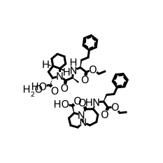 CCOC(=O)[C@H](CCc1ccccc1)N[C@@H](C)C(=O)N1[C@H](C(=O)O)C[C@H]2CCCC[C@@H]21.CCOC(=O)[C@H](CCc1ccccc1)N[C@H]1CCCN2CCC[C@@H](C(=O)O)N2C1=O.O